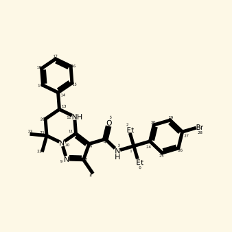 CCC(CC)(NC(=O)c1c(C)nn2c1NC(c1ccccc1)CC2(C)C)c1ccc(Br)cc1